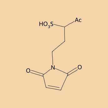 CC(=O)C(CCN1C(=O)C=CC1=O)S(=O)(=O)O